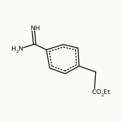 CCOC(=O)Cc1ccc(C(=N)N)cc1